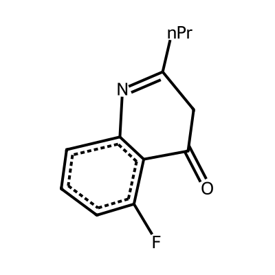 CCCC1=Nc2cccc(F)c2C(=O)C1